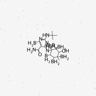 Bc1nc(NC(C)(C)C)nc(NC2(B)C(B)C(B)C(B)(C)C(O)C2(B)B)c1C(N)=O